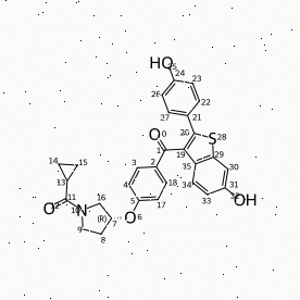 O=C(c1ccc(O[C@@H]2CCN(C(=O)C3CC3)C2)cc1)c1c(-c2ccc(O)cc2)sc2cc(O)ccc12